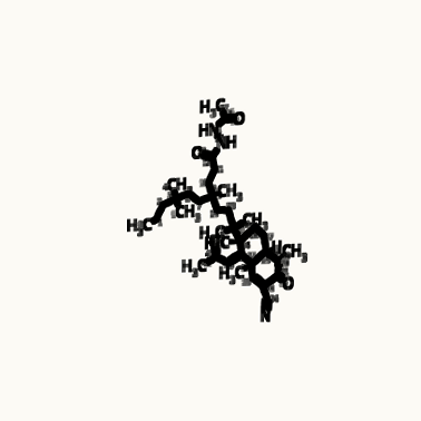 CCCC(C)(C)CC[C@](C)(CCC(=O)NNC(C)=O)CCC(C)(C)[C@]1(C)CC[C@H]2[C@H](C)C(=O)C(C#N)=C[C@]2(C)/C1=C/C(C)=O